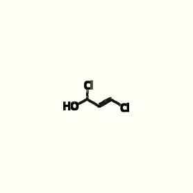 OC(Cl)C=CCl